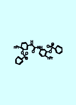 CCCc1ccc(NC(=O)Nc2ccc(CCC)c(OS(=O)(=O)c3ccccc3)c2)cc1OS(=O)(=O)c1ccccc1